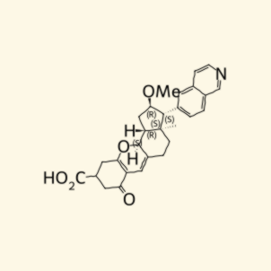 CO[C@@H]1C[C@H]2[C@@H]3OC4=C(C=C3CC[C@]2(C)[C@H]1c1ccc2cnccc2c1)C(=O)CC(C(=O)O)C4